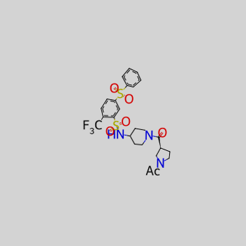 CC(=O)N1CC[C@H](C(=O)N2CCC(NS(=O)(=O)c3cc(S(=O)(=O)c4ccccc4)ccc3C(F)(F)F)CC2)C1